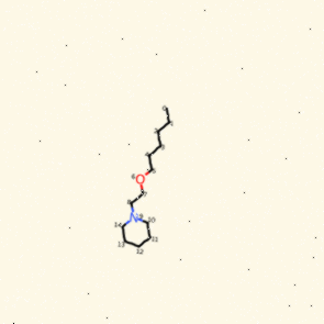 CCCCCCOCCN1CCCCC1